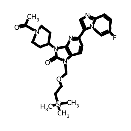 CC(=O)N1CCC(n2c(=O)n(COCC[Si](C)(C)C)c3ccc(-c4cnc5ccc(F)cn45)nc32)CC1